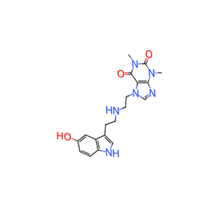 Cn1c(=O)c2c(ncn2CCNCCc2c[nH]c3ccc(O)cc23)n(C)c1=O